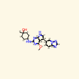 COc1nc(NC2CCC(C)(O)CC2)nc2[nH]cc(-c3ccc4ncnn4c3)c12